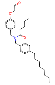 CCCCCCCCc1ccc(CN(Cc2ccc(OCC=O)cc2)C(=O)CCCCC)cc1